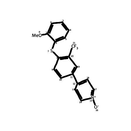 COc1ccccc1Sc1ccc(-c2cc[n+]([O-])cc2)cc1C(F)(F)F